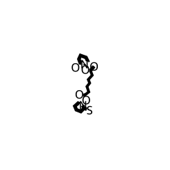 O=C(CCCCCC(=O)On1ccccc1=S)On1ccccc1=O